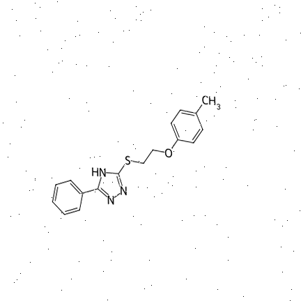 Cc1ccc(OCCSc2nnc(-c3ccccc3)[nH]2)cc1